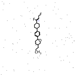 CCCC1CCC(c2ccc(C3CCC(/C(F)=C/CF)CC3)cc2)OC1